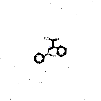 CCCN(/C=C(/C(=O)C(F)(F)F)c1ccccc1)c1ccccc1